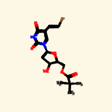 CC(C)(C)C(=O)OC[C@@H]1O[C@H](n2cc(/C=C/Br)c(=O)[nH]c2=O)CC1O